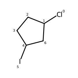 ClC1CCC(I)C1